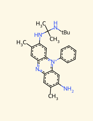 Cc1cc2nc3cc(C)c(NC(C)(C)NC(C)(C)C)cc3[n+](-c3ccccc3)c2cc1N